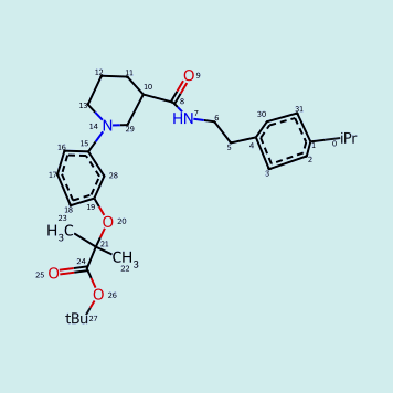 CC(C)c1ccc(CCNC(=O)C2CCCN(c3cccc(OC(C)(C)C(=O)OC(C)(C)C)c3)C2)cc1